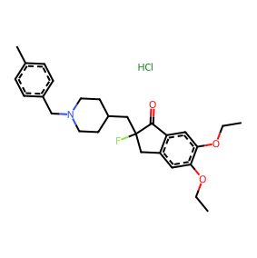 CCOc1cc2c(cc1OCC)C(=O)C(F)(CC1CCN(Cc3ccc(C)cc3)CC1)C2.Cl